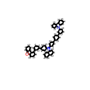 c1cc(-c2ccc(N(c3ccc(-c4ccc(-c5cccc(-n6c7ccccc7c7ccccc76)c5)cc4)cc3)c3cccc4ccccc34)cc2)cc(-c2cccc3oc4ccccc4c23)c1